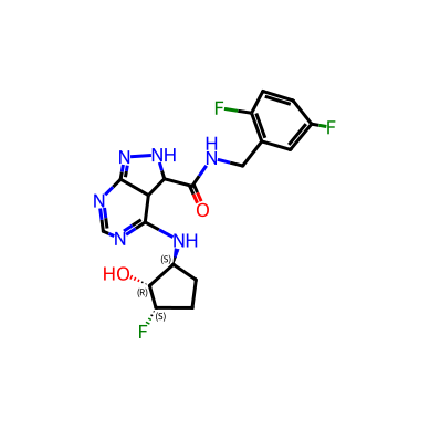 O=C(NCc1cc(F)ccc1F)C1NN=C2N=CN=C(N[C@H]3CC[C@H](F)[C@@H]3O)C21